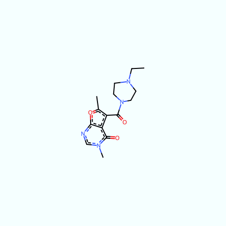 CCN1CCN(C(=O)c2c(C)oc3ncn(C)c(=O)c23)CC1